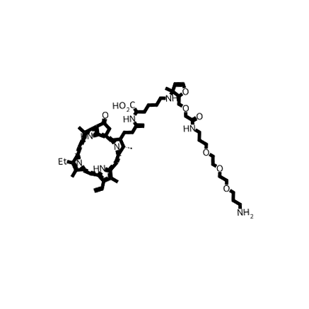 C=Cc1c(C)c2cc3nc(c4c5[nH]c(cc6nc(cc1[nH]2)C(C)=C6CC)c(C)c5C(=O)C4)C(CCC(=C)NC(CCCCNC1(C)C=COC1COCC(=O)NCCCOCCOCCOCCCN)C(=O)O)[C@@H]3C